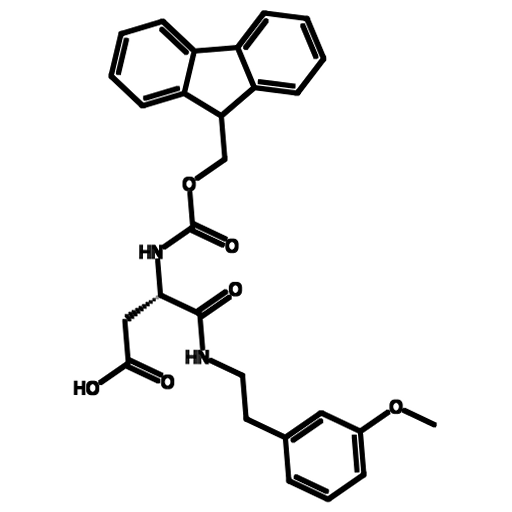 COc1cccc(CCNC(=O)[C@H](CC(=O)O)NC(=O)OCC2c3ccccc3-c3ccccc32)c1